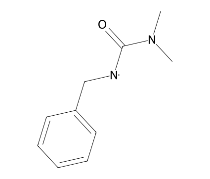 CN(C)C(=O)[N]Cc1ccccc1